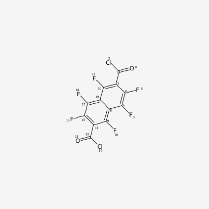 O=C(Cl)c1c(F)c(F)c2c(F)c(C(=O)Cl)c(F)c(F)c2c1F